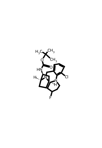 CC(C)(C)OC(=O)N[C@H]1C[C@H]2CC[C@@H]1N2Cc1cccc(Cl)c1N1CCC(F)CC1